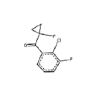 O=C(c1cccc(F)c1Cl)C1(F)CC1